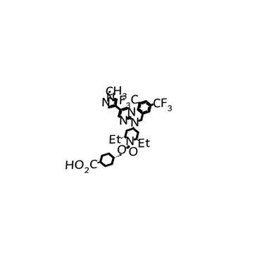 CC[C@@H]1C[C@H](N(Cc2cc(C(F)(F)F)cc(C(F)(F)F)c2)c2ncc(-c3cnn(C)c3)cn2)C[C@H](CC)N1C(=O)OC[C@H]1CC[C@H](C(=O)O)CC1